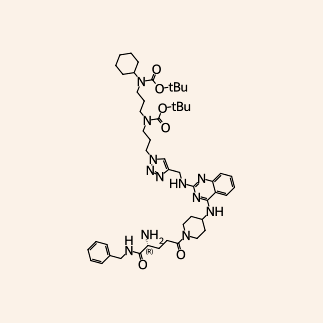 CC(C)(C)OC(=O)N(CCCN(C(=O)OC(C)(C)C)C1CCCCC1)CCCn1cc(CNc2nc(NC3CCN(C(=O)CC[C@@H](N)C(=O)NCc4ccccc4)CC3)c3ccccc3n2)nn1